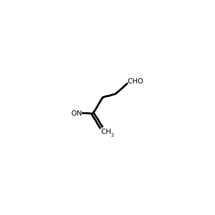 C=C(CCC=O)N=O